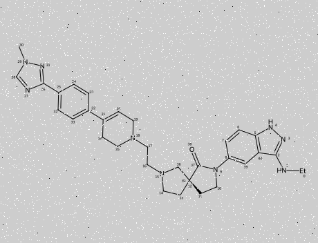 CCNc1n[nH]c2ccc(N3CC[C@]4(CCN(CCN5CC=C(c6ccc(-c7ncn(C)n7)cc6)CC5)C4)C3=O)cc12